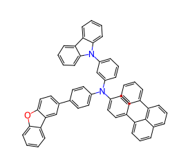 c1ccc(-c2cccc3cccc(-c4ccc(N(c5ccc(-c6ccc7oc8ccccc8c7c6)cc5)c5cccc(-n6c7ccccc7c7ccccc76)c5)cc4)c23)cc1